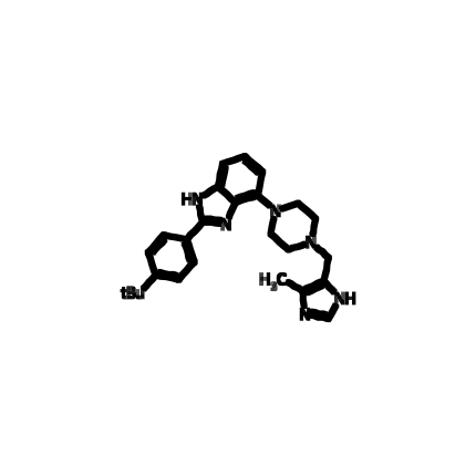 Cc1nc[nH]c1CN1CCN(c2cccc3[nH]c(-c4ccc(C(C)(C)C)cc4)nc23)CC1